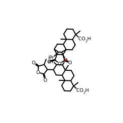 CC(C)C1C(C2C(=O)OC(=O)C2C)CC2C(C)(CCC3C(C)(C(=O)O)CCCC32C)C1OC1C(C(C)C)C2CC3C4(C)CCCC(C)(C(=O)O)C4CCC13C1C(=O)OC(=O)C21